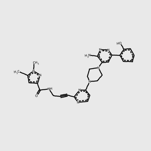 Cc1cc(C(=O)NCC#Cc2nccc(N3CCN(c4cc(-c5ccccc5O)nnc4N)CC3)n2)nn1C